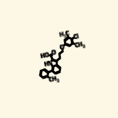 Cc1ccccc1-c1cccc2c(CCCOc3cc(C)c(Cl)c(C)c3)c(C(=O)O)[nH]c12